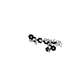 CC(C)(C)CCN1C(=O)C(CC(=O)N2CCC(N3Cc4ccccc4NC3=O)CC2)SC1c1ccccc1-n1cccn1